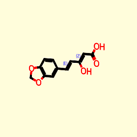 O=C(O)/C=C(O)/C=C/c1ccc2c(c1)OCO2